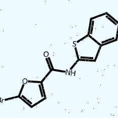 O=C(Nc1cc2ccccc2s1)c1ccc(Br)o1